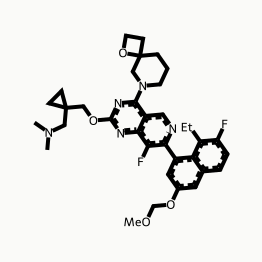 CCc1c(F)ccc2cc(OCOC)cc(-c3ncc4c(N5CCCC6(CCO6)C5)nc(OCC5(CN(C)C)CC5)nc4c3F)c12